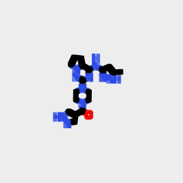 Cc1cc(Nc2nc(N3CCN(C(=O)c4cn[nH]c4)CC3)nn3cccc23)n[nH]1